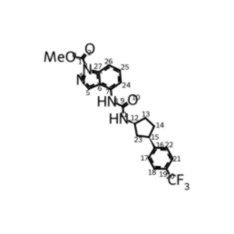 COC(=O)n1ncc2c(NC(=O)N[C@H]3CC[C@@H](c4ccc(C(F)(F)F)cc4)C3)cccc21